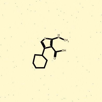 CNc1scc(C2CCCCC2)c1C(=O)O